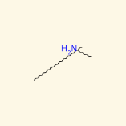 CCCCCC=CCC=CCCCCCCCCCCCC(N)C(CC)CCCCCC